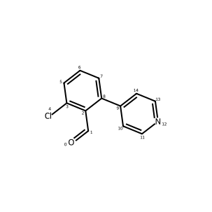 O=Cc1c(Cl)cccc1-c1ccncc1